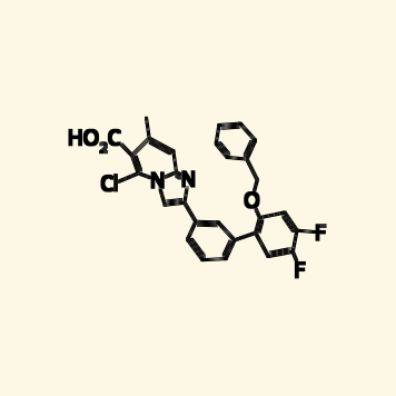 Cc1cc2nc(-c3cccc(-c4cc(F)c(F)cc4OCc4ccccc4)c3)cn2c(Cl)c1C(=O)O